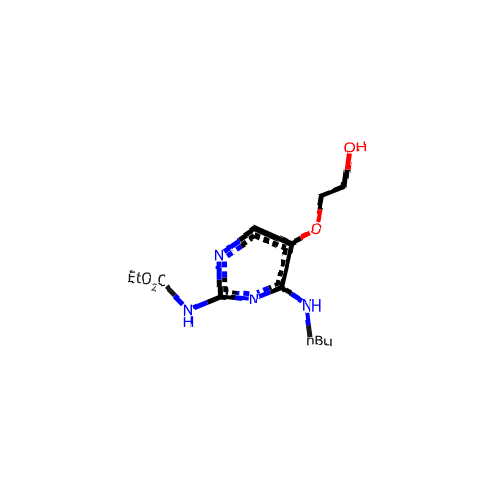 CCCCNc1nc(NC(=O)OCC)ncc1OCCO